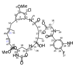 COc1cc2cc(c1Cl)N(C)C(=O)C[C@H](OC(=O)[C@H](C)N(C)C(=O)c1ccc(F)c(N)c1)C(C)[C@@H](O)[C@H](C)[C@@H]1C[C@@](O)(NC(=O)O1)[C@H](OC)/C=C/C=C(\C)C2